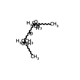 CCCCCCCCCNC(=O)C(C)(C)CCCCCC(=O)CCCCCC(C)(C)C(=O)NCCCCCCCCC